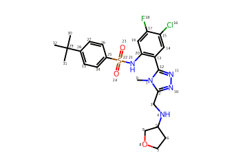 Cn1c(CNC2CCOC2)nnc1-c1cc(Cl)c(F)cc1NS(=O)(=O)c1ccc(C(C)(C)C)cc1